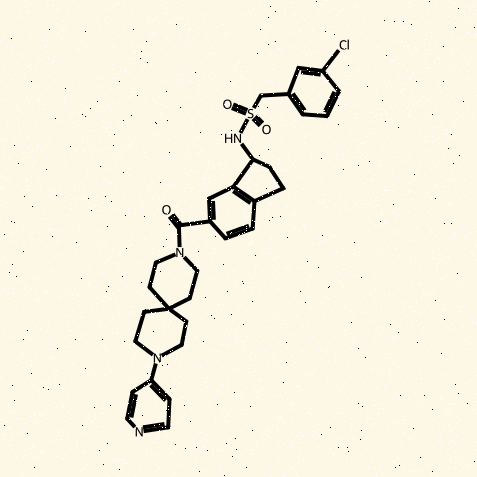 O=C(c1ccc2c(c1)C(NS(=O)(=O)Cc1cccc(Cl)c1)CC2)N1CCC2(CC1)CCN(c1ccncc1)CC2